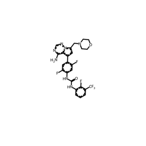 Nc1ncnn2c(CN3CCOCC3)cc(-c3cc(F)c(NC(=O)Nc4cccc(C(F)(F)F)c4F)cc3F)c12